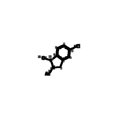 CC(=O)N1Cc2cc(Cl)ccc2[S+]1[O-]